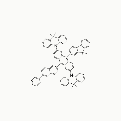 CC1(C)C2=C(CCC=C2)N(c2ccc3c(-c4ccc5c(c4)C(C)(C)c4ccccc4-5)c4cc(N5c6ccccc6C(C)(C)c6ccccc65)ccc4c(-c4ccc5cc(-c6ccccc6)ccc5c4)c3c2)c2ccccc21